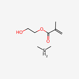 C=C(C)C(=O)OCCO.C[SiH2]C